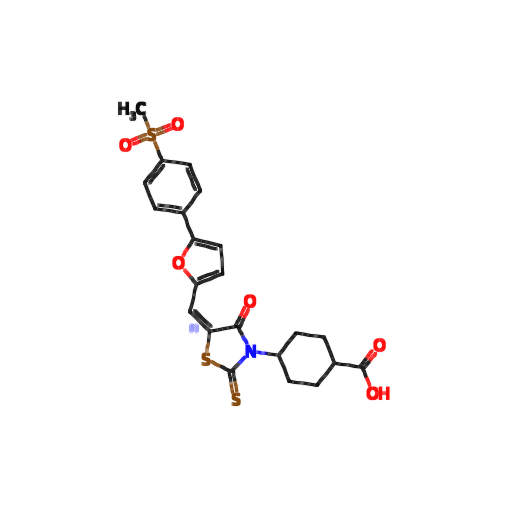 CS(=O)(=O)c1ccc(-c2ccc(/C=C3/SC(=S)N(C4CCC(C(=O)O)CC4)C3=O)o2)cc1